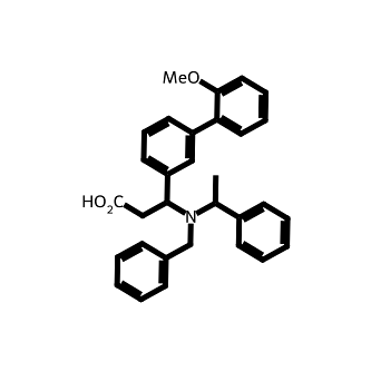 COc1ccccc1-c1cccc(C(CC(=O)O)N(Cc2ccccc2)C(C)c2ccccc2)c1